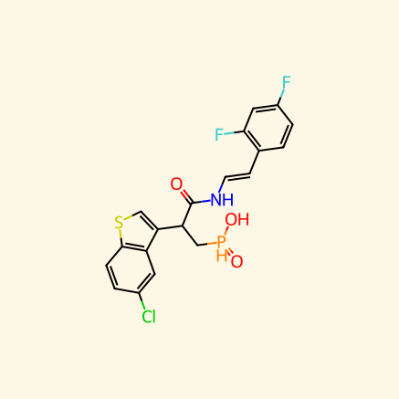 O=C(N/C=C/c1ccc(F)cc1F)C(C[PH](=O)O)c1csc2ccc(Cl)cc12